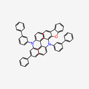 c1ccc(-c2cccc(N(c3cccc(-c4ccccc4)c3)c3ccccc3-c3ccccc3N(c3cccc(-c4ccccc4)c3)c3cccc4c3oc3ccccc34)c2)cc1